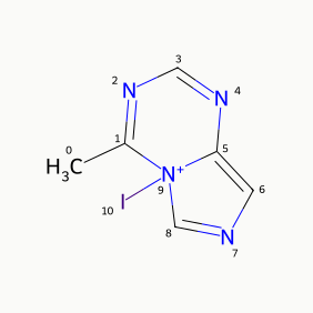 CC1=NC=NC2=CN=C[N+]21I